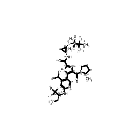 CC[C@H](Nc1cc(C(F)F)c(-c2sc(C(=O)N[C@@H]3C[C@@H]3O[Si](C)(C)C(C)(C)C)nc2C(=O)N2CCC[C@@H]2C)cn1)C(F)(F)F